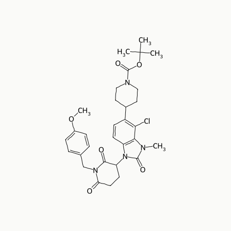 COc1ccc(CN2C(=O)CCC(n3c(=O)n(C)c4c(Cl)c(C5CCN(C(=O)OC(C)(C)C)CC5)ccc43)C2=O)cc1